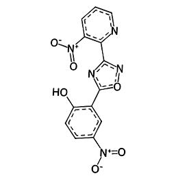 O=[N+]([O-])c1ccc(O)c(-c2nc(-c3ncccc3[N+](=O)[O-])no2)c1